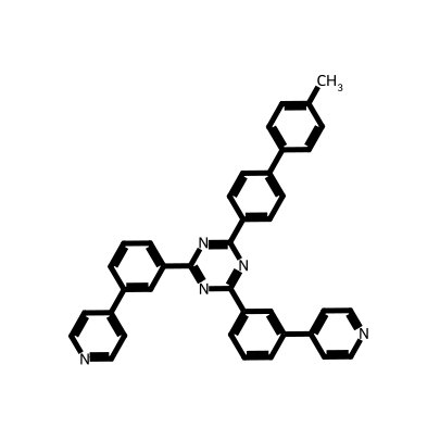 Cc1ccc(-c2ccc(-c3nc(-c4cccc(-c5ccncc5)c4)nc(-c4cccc(-c5ccncc5)c4)n3)cc2)cc1